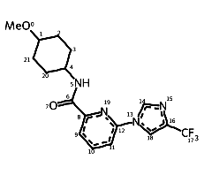 COC1CCC(NC(=O)c2cccc(-n3cnc(C(F)(F)F)c3)n2)CC1